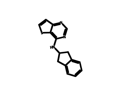 c1ccc2c(c1)CC(Nc1ncnc3ccsc13)C2